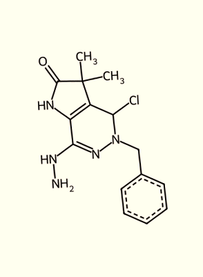 CC1(C)C(=O)NC2=C1C(Cl)N(Cc1ccccc1)N=C2NN